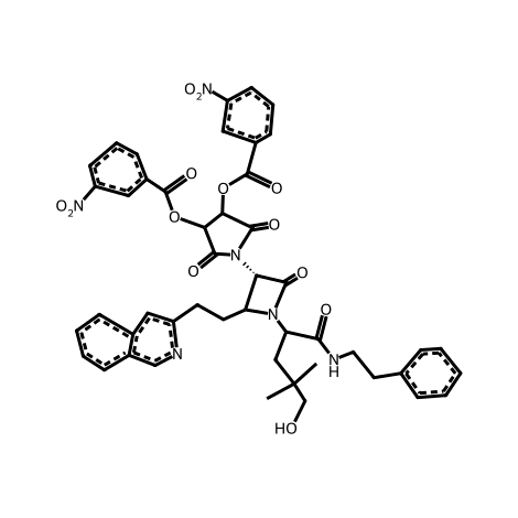 CC(C)(CO)CC(C(=O)NCCc1ccccc1)N1C(=O)[C@@H](N2C(=O)C(OC(=O)c3cccc([N+](=O)[O-])c3)C(OC(=O)c3cccc([N+](=O)[O-])c3)C2=O)C1CCc1cc2ccccc2cn1